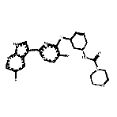 O=C(N[C@@H]1CCCC(Nc2nc(-c3c[nH]c4ncc(F)cc34)ncc2F)C1)N1CCOCC1